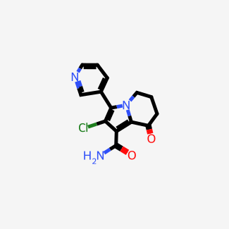 NC(=O)c1c(Cl)c(-c2cccnc2)n2c1C(=O)CCC2